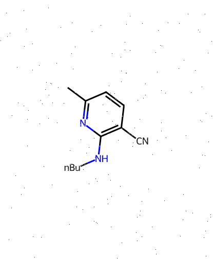 CCCCNc1nc(C)ccc1C#N